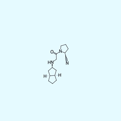 N#C[C@@H]1CCCN1C(=O)CN[C@H]1C[C@H]2CCC[C@H]2C1